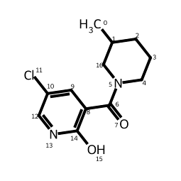 CC1CCCN(C(=O)c2cc(Cl)cnc2O)C1